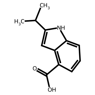 CC(C)c1cc2c(C(=O)O)cccc2[nH]1